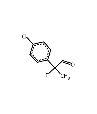 CC(F)(C=O)c1ccc(Cl)cc1